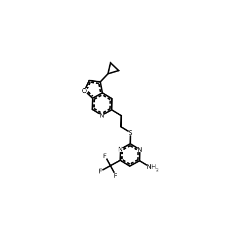 Nc1cc(C(F)(F)F)nc(SCCc2cc3c(C4CC4)coc3cn2)n1